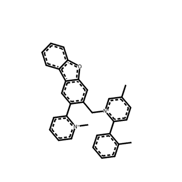 Cc1ccc(-c2ccccc2C)[n+](Cc2cc3oc4ccccc4c3cc2-c2cccc[n+]2C)c1